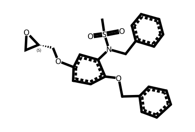 CS(=O)(=O)N(Cc1ccccc1)c1cc(OC[C@@H]2CO2)ccc1OCc1ccccc1